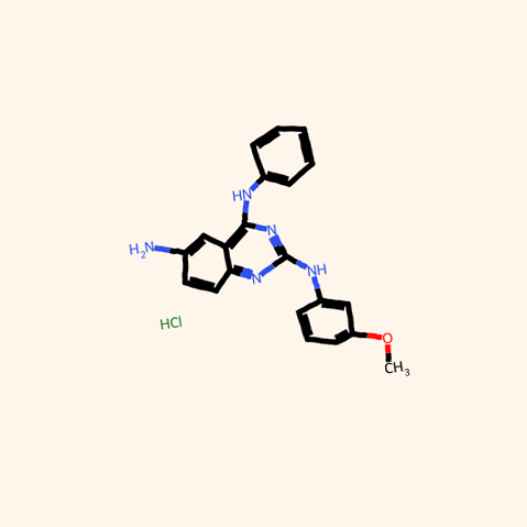 COc1cccc(Nc2nc(Nc3ccccc3)c3cc(N)ccc3n2)c1.Cl